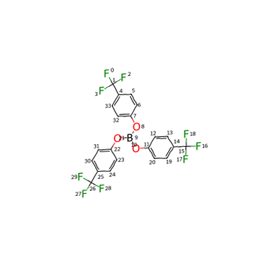 FC(F)(F)c1ccc(OB(Oc2ccc(C(F)(F)F)cc2)Oc2ccc(C(F)(F)F)cc2)cc1